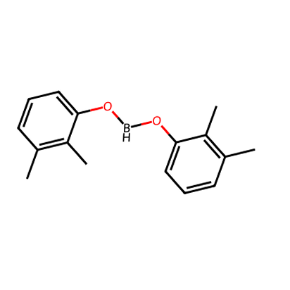 Cc1cccc(OBOc2cccc(C)c2C)c1C